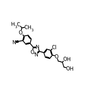 CC(C)Oc1ccc(-c2nc(-c3ccc(OCC(O)CO)c(Cl)c3)no2)cc1C#N